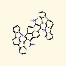 CN(C)c1c2c(c3ccc4c(N(C)C)c5c(c6ccc1c3c46)-n1c3ccccc3c3ccc4c(c31)B5c1ccccc1-4)-n1c3ccccc3c3ccc4c(c31)B2c1ccccc1-4